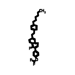 CCCCCCc1ccc(CCc2ccc3c(F)c(-c4ccc(OC(F)F)cc4)ccc3c2)cc1